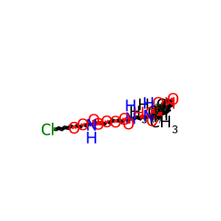 C[C@@H]1CC2[C@@H]3CCC4=CC(=O)C=C[C@]4(C)[C@@]3(F)[C@@H](O)C[C@]2(C)[C@@]1(O)C(=O)NCCCCCNC(=O)OCCOCCOCCOC(=O)NCCOCCOCCCCCCCl